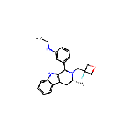 [CH2]CNc1cccc([C@@H]2c3[nH]c4ccccc4c3C[C@@H](C)N2CC2(F)COC2)c1